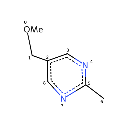 COCc1cnc(C)nc1